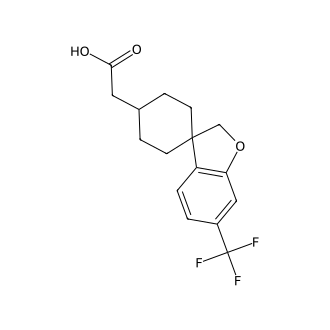 O=C(O)CC1CCC2(CC1)COc1cc(C(F)(F)F)ccc12